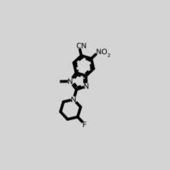 Cn1c(N2CCCC(F)C2)nc2cc([N+](=O)[O-])c(C#N)cc21